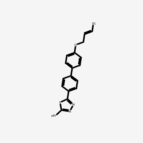 CCC=CCOc1ccc(-c2ccc(-c3nnc(CCC)s3)cc2)cc1